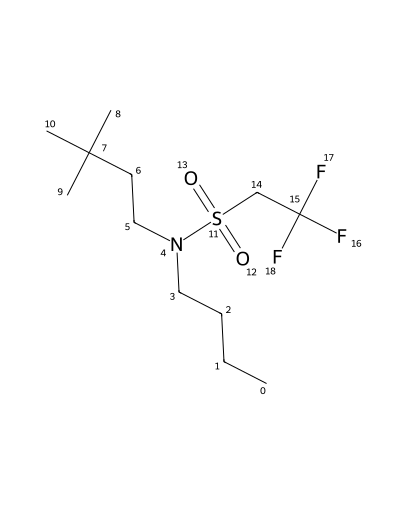 CCCCN(CCC(C)(C)C)S(=O)(=O)CC(F)(F)F